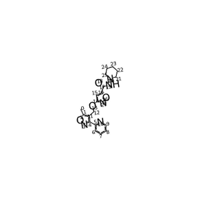 Cc1onc(-c2ccccn2)c1COc1cc(C(=O)NN2CCCCC2)on1